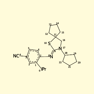 CC(C)c1cc(C#N)ccc1N=C1SC2(CCCC2)CN1C1CCCC1